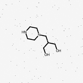 OCC(CO)CN1CCNCC1